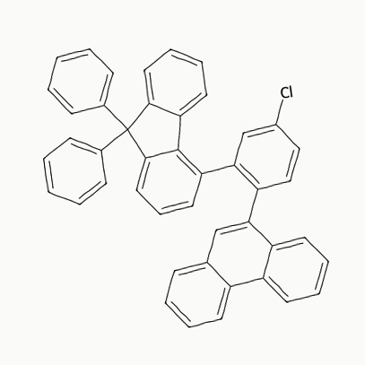 Clc1ccc(-c2cc3ccccc3c3ccccc23)c(-c2cccc3c2-c2ccccc2C3(c2ccccc2)c2ccccc2)c1